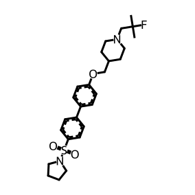 CC(C)(F)CN1CCC(COc2ccc(-c3ccc(S(=O)(=O)N4CCCC4)cc3)cc2)CC1